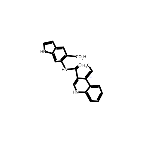 C/C=C1\C(C(=O)Nc2cc3[nH]ccc3cc2C(=O)O)=CNc2ccccc21